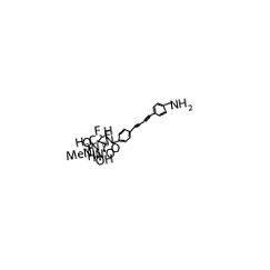 CNC(=O)NC(C)(C(F)F)[C@H](NC(=O)c1ccc(C#CC#Cc2ccc(CN)cc2)cc1)C(=O)NO